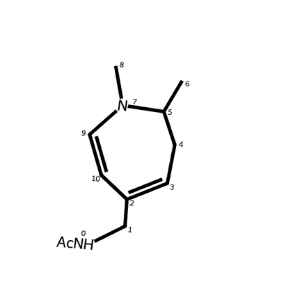 CC(=O)NCC1=CCC(C)N(C)C=C1